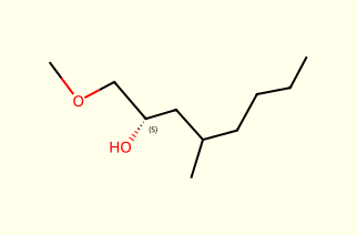 CCCCC(C)C[C@H](O)COC